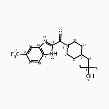 CC(C)(O)CC1CCN(C(=O)c2nc3cc(C(F)(F)F)ccc3[nH]2)CC1